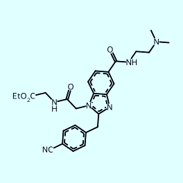 CCOC(=O)CNC(=O)Cn1c(Cc2ccc(C#N)cc2)nc2cc(C(=O)NCCN(C)C)ccc21